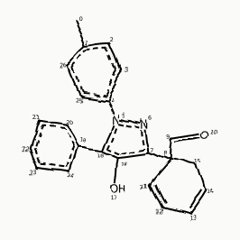 Cc1ccc(-n2nc(C3(C=O)C=CC=CC3)c(O)c2-c2ccccc2)cc1